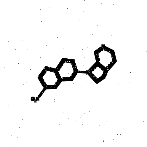 O=[N+]([O-])c1ccc2cnc(-n3ccc4ccncc43)cc2c1